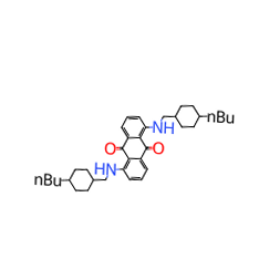 CCCCC1CCC(CNc2cccc3c2C(=O)c2cccc(NCC4CCC(CCCC)CC4)c2C3=O)CC1